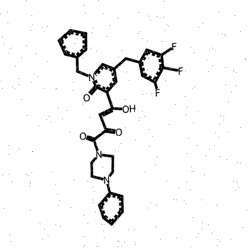 O=C(/C=C(\O)c1cc(Cc2cc(F)c(F)c(F)c2)cn(Cc2ccccc2)c1=O)C(=O)N1CCN(c2ccccc2)CC1